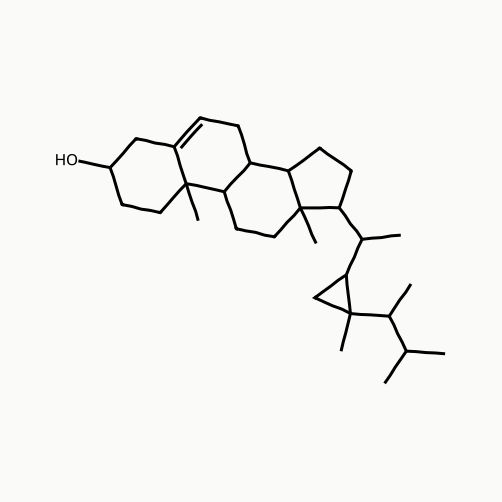 CC(C)C(C)C1(C)CC1C(C)C1CCC2C3CC=C4CC(O)CCC4(C)C3CCC12C